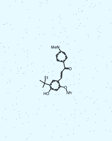 CCCOc1cc(O)c(C(C)(C)CC)cc1C=CC(=O)c1ccc(NC)cc1